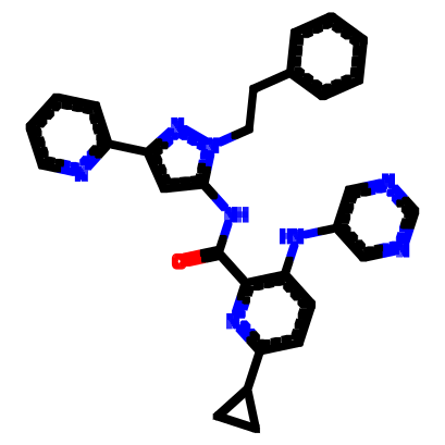 O=C(Nc1cc(-c2ccccn2)nn1CCc1ccccc1)c1nc(C2CC2)ccc1Nc1cncnc1